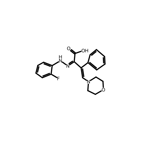 O=C(O)C(=NNc1ccccc1F)C(=CN1CCOCC1)c1ccccc1